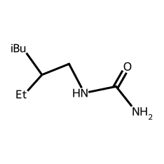 CCC(C)C(CC)CNC(N)=O